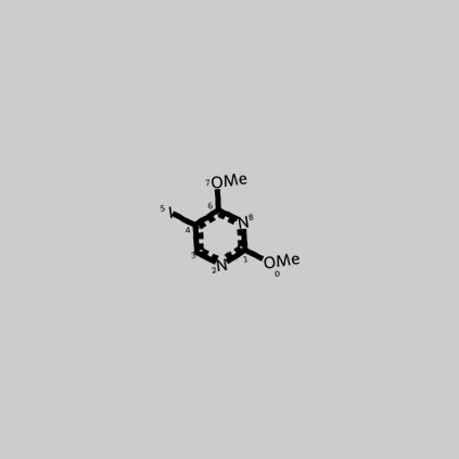 COc1ncc(I)c(OC)n1